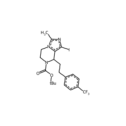 Cc1nc(I)c2n1CCN(C(=O)OC(C)(C)C)C2CCc1ccc(C(F)(F)F)cc1